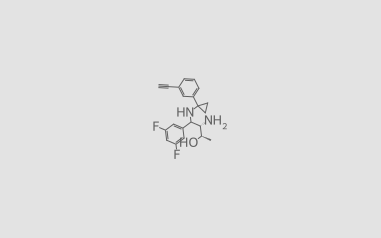 C#Cc1cccc(C2(NC(c3cc(F)cc(F)c3)[C@H](N)[C@@H](C)O)CC2)c1